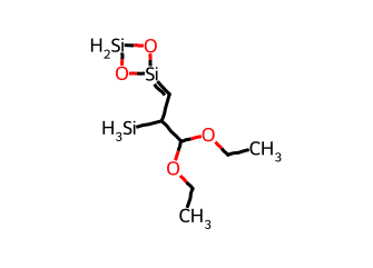 CCOC(OCC)C([SiH3])C=[Si]1O[SiH2]O1